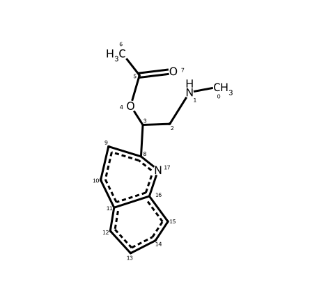 CNCC(OC(C)=O)c1ccc2ccccc2n1